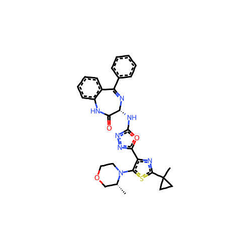 C[C@@H]1COCCN1c1sc(C2(C)CC2)nc1-c1nnc(N[C@H]2N=C(c3ccccc3)c3ccccc3NC2=O)o1